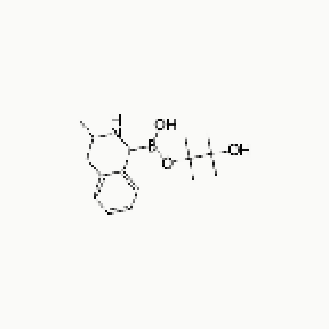 CC1Cc2ccccc2C(B(O)OC(C)(C)C(C)(C)O)N1